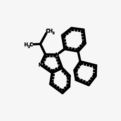 CC(C)c1nc2ccccc2n1-c1ccccc1-c1ccccc1